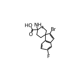 NC1(C(=O)O)CCC2(CC1)C(Br)=Cc1cc(F)ccc12